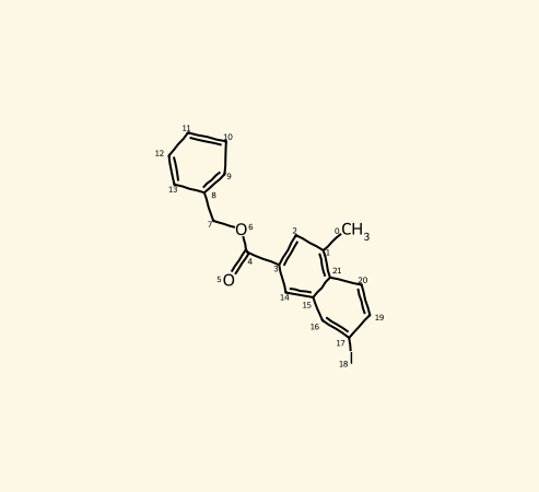 Cc1cc(C(=O)OCc2ccccc2)cc2cc(I)ccc12